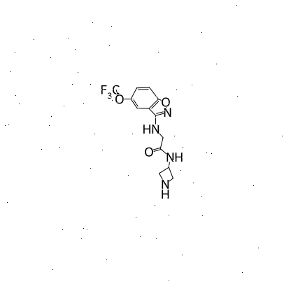 O=C(CNc1noc2ccc(OC(F)(F)F)cc12)NC1CNC1